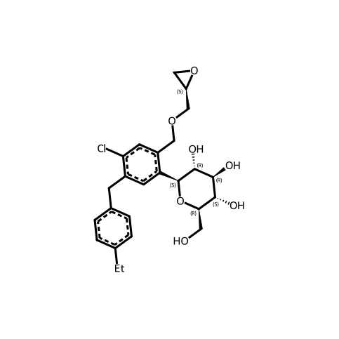 CCc1ccc(Cc2cc([C@@H]3O[C@H](CO)[C@@H](O)[C@H](O)[C@H]3O)c(COC[C@H]3CO3)cc2Cl)cc1